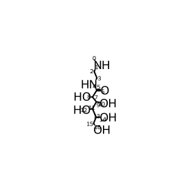 CNCCNC(=O)C(O)C(O)C(O)C(O)CO